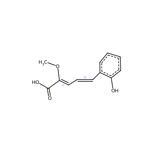 CO/C(=C\C=C\c1ccccc1O)C(=O)O